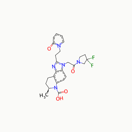 C[C@H]1CCc2c(ccc3c2nc(CCn2ccccc2=O)n3CC(=O)N2CCC(F)(F)C2)N1C(=O)O